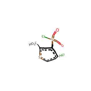 Cl.O=C(O)c1sccc1S(=O)(=O)Cl